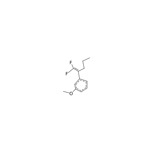 CCCC(=C(F)F)c1cccc(OC)c1